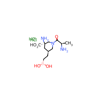 C[C@@H](N)C(=O)N1C[C@@H](CCB(O)O)C[C@](N)(C(=O)O)C1.Cl.Cl